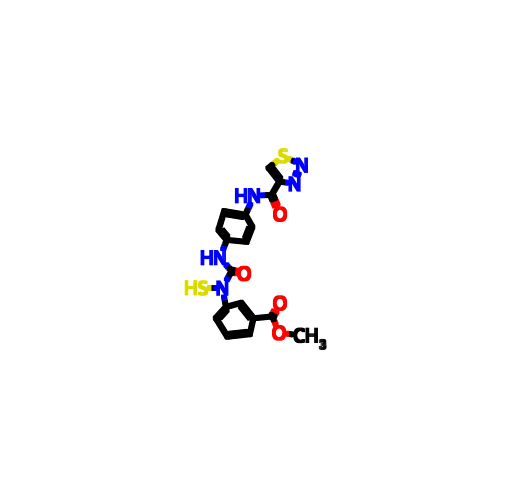 COC(=O)c1cccc(N(S)C(=O)Nc2ccc(NC(=O)c3csnn3)cc2)c1